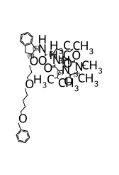 CC(C)[C@H](NC(=O)[C@H](C)N(C)C(=O)OC(C)(C)C)C(=O)N1CCC[C@H]1C(=O)N[C@H]1c2ccccc2C[C@H]1OCCCOCCCCCOCc1ccccc1